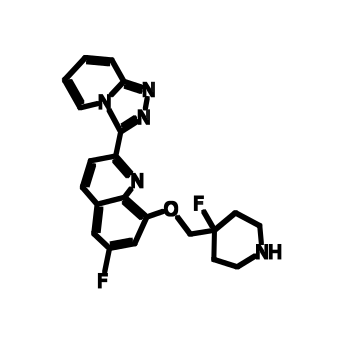 Fc1cc(OCC2(F)CCNCC2)c2nc(-c3nnc4ccccn34)ccc2c1